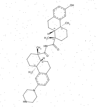 C[C@]1(C(=O)NC(=O)[C@@]2(C)CCC[C@]3(C)c4cc(N5CCNCC5)ccc4CC[C@@H]23)CCC[C@]2(C)c3cc(O)ccc3CC[C@@H]12